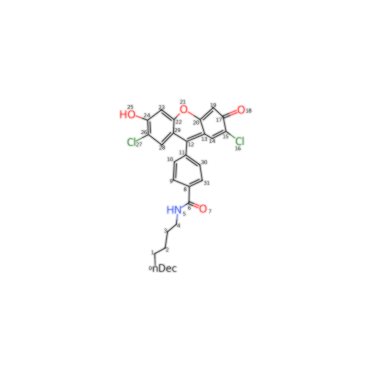 CCCCCCCCCCCCCCNC(=O)c1ccc(-c2c3cc(Cl)c(=O)cc-3oc3cc(O)c(Cl)cc23)cc1